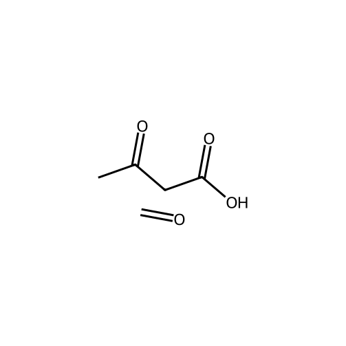 C=O.CC(=O)CC(=O)O